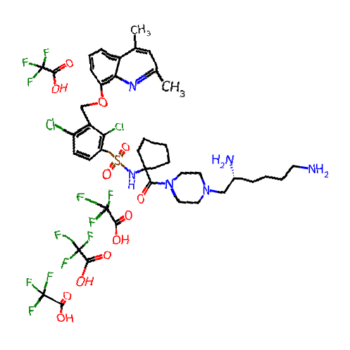 Cc1cc(C)c2cccc(OCc3c(Cl)ccc(S(=O)(=O)NC4(C(=O)N5CCN(C[C@H](N)CCCCN)CC5)CCCC4)c3Cl)c2n1.O=C(O)C(F)(F)F.O=C(O)C(F)(F)F.O=C(O)C(F)(F)F.O=C(O)C(F)(F)F